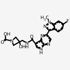 Cn1nc(-c2cnc3[nH]cc(C(=O)NCC4(O)CN(C(=O)O)C4)c3n2)c2ccc(F)cc21